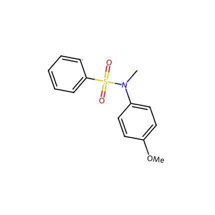 COc1ccc(N(C)S(=O)(=O)c2[c]cccc2)cc1